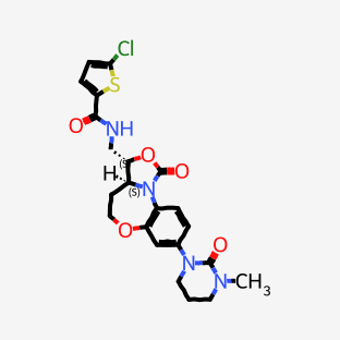 CN1CCCN(c2ccc3c(c2)OCC[C@H]2[C@H](CNC(=O)c4ccc(Cl)s4)OC(=O)N32)C1=O